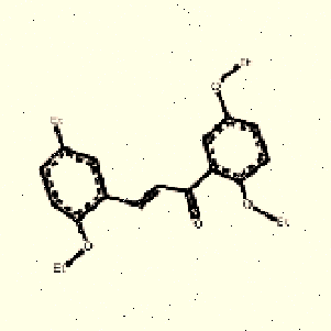 CCOc1ccc(OCC)c(C(=O)/C=C/c2cc(CC)ccc2OCC)c1